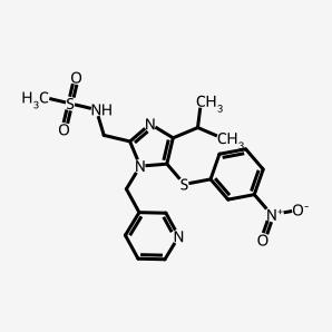 CC(C)c1nc(CNS(C)(=O)=O)n(Cc2cccnc2)c1Sc1cccc([N+](=O)[O-])c1